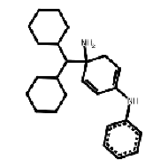 NC1(C(C2CCCCC2)C2CCCCC2)C=CC(Nc2ccccc2)=CC1